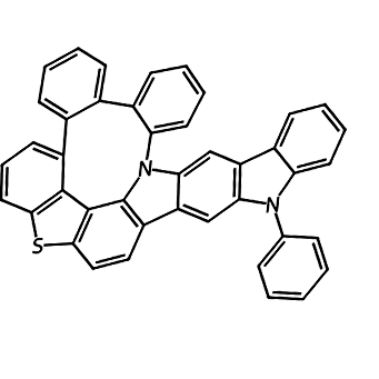 c1ccc(-n2c3ccccc3c3cc4c(cc32)c2ccc3sc5cccc6c7ccccc7c7ccccc7n4c2c3c56)cc1